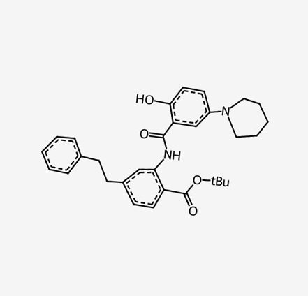 CC(C)(C)OC(=O)c1ccc(CCc2ccccc2)cc1NC(=O)c1cc(N2CCCCC2)ccc1O